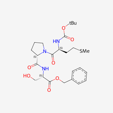 CSCC[C@H](NC(=O)OC(C)(C)C)C(=O)N1CCC[C@H]1C(=O)N[C@@H](CO)C(=O)OCc1ccccc1